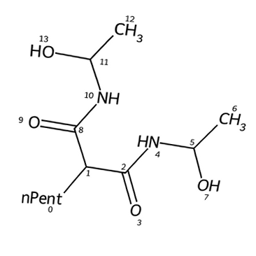 CCCCCC(C(=O)NC(C)O)C(=O)NC(C)O